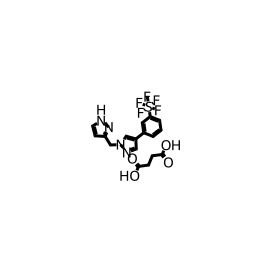 FS(F)(F)(F)(F)c1cccc(-c2cnn(Cc3cc[nH]n3)c2)c1.O=C(O)CCC(=O)O